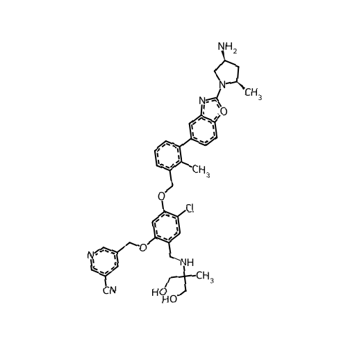 Cc1c(COc2cc(OCc3cncc(C#N)c3)c(CNC(C)(CO)CO)cc2Cl)cccc1-c1ccc2oc(N3C[C@@H](N)C[C@H]3C)nc2c1